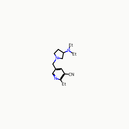 CCc1ncc(CN2CCC(N(CC)CC)C2)cc1C#N